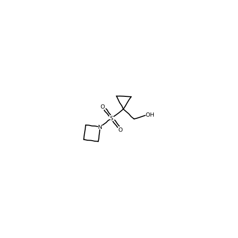 O=S(=O)(N1CCC1)C1(CO)CC1